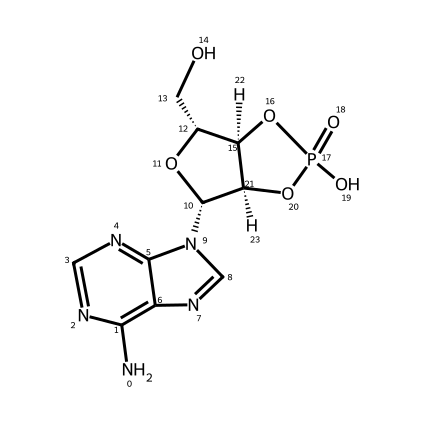 Nc1ncnc2c1ncn2[C@@H]1O[C@H](CO)[C@H]2OP(=O)(O)O[C@H]21